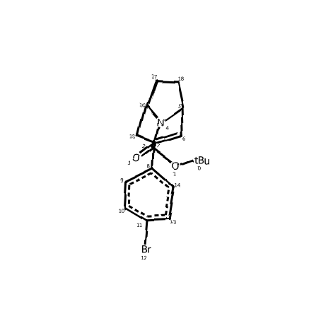 CC(C)(C)OC(=O)N1C2C=C(c3ccc(Br)cc3)CC1CC2